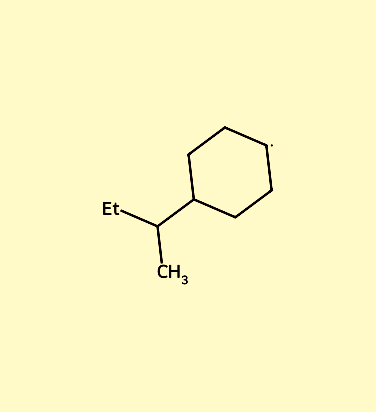 CCC(C)C1CC[CH]CC1